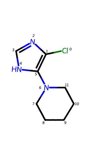 Clc1nc[nH]c1N1CCCCC1